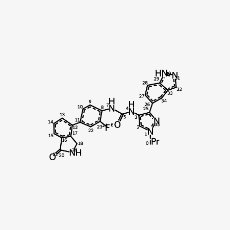 CC(C)n1cc(NC(=O)Nc2ccc(-c3cccc4c3CNC4=O)cc2F)c(-c2ccc3[nH]ncc3c2)n1